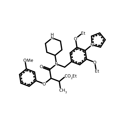 CCOC(=O)C(C)C(Oc1cccc(OC)c1)C(=O)N(Cc1cc(OCC)c(-n2cccc2)c(OCC)c1)C1CCNCC1